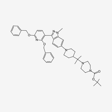 Cn1nc(-c2ccc(OCc3ccccc3)nc2OCc2ccccc2)c2ccc(N3CCC(C(C)(C)N4CCN(C(=O)OC(C)(C)C)CC4)CC3)cc21